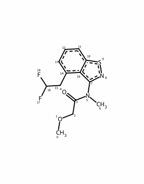 COCC(=O)N(C)c1nsc2cccc(CC(F)F)c12